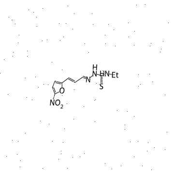 CCNC(=S)NN=CC=Cc1ccc([N+](=O)[O-])o1